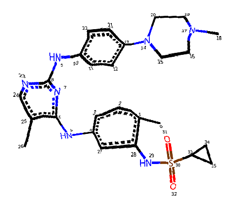 Cc1ccc(Nc2nc(Nc3ccc(N4CCN(C)CC4)cc3)ncc2C)cc1NS(=O)(=O)C1CC1